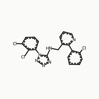 Clc1ccccc1-c1ncccc1CNc1nnnn1-c1cccc(Cl)c1Cl